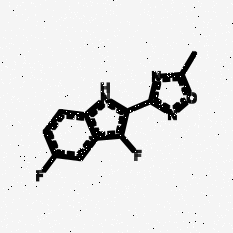 Cc1nc(-c2[nH]c3ccc(F)cc3c2F)no1